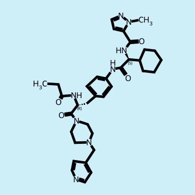 CCC(=O)N[C@H](Cc1ccc(NC(=O)[C@@H](NC(=O)c2ccnn2C)C2CCCCC2)cc1)C(=O)N1CCN(Cc2ccncc2)CC1